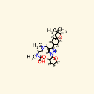 CN(CCN(C)C(=O)O)Cc1cn(C2CCCCO2)nc1C1CCC2(CC1)CC(C)(C)CO2